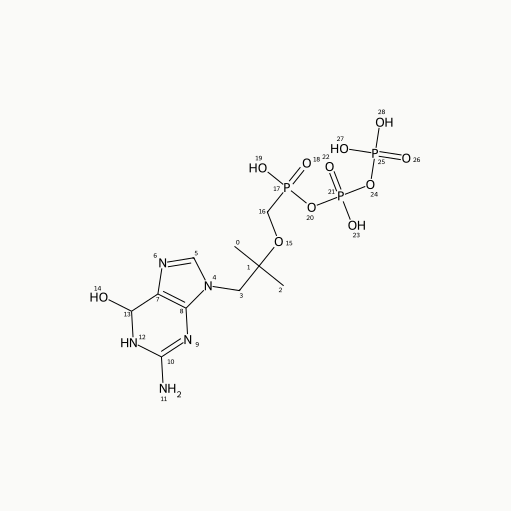 CC(C)(Cn1cnc2c1N=C(N)NC2O)OCP(=O)(O)OP(=O)(O)OP(=O)(O)O